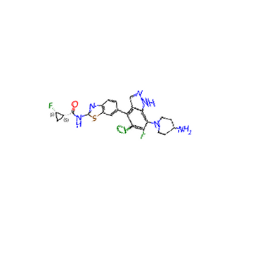 NC1CCN(c2c(F)c(Cl)c(-c3ccc4nc(NC(=O)[C@@H]5C[C@@H]5F)sc4c3)c3cn[nH]c23)CC1